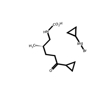 C[C@@H](CCC(=O)C1CC1)CNC(=O)O.[Br][Mg][CH]1CC1